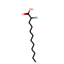 CCCCCCCCCCC(Br)C(=O)O